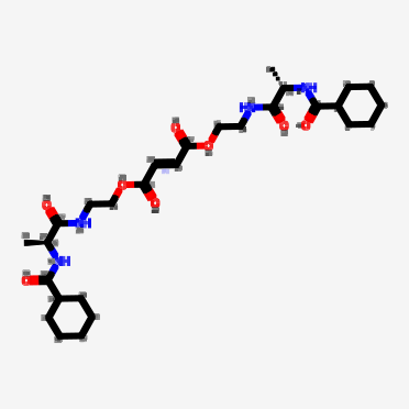 C[C@H](NC(=O)C1CCCCC1)C(=O)NCCOC(=O)/C=C/C(=O)OCCNC(=O)[C@H](C)NC(=O)C1CCCCC1